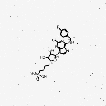 C[C@H](Nc1nc(Cl)nc2c1ncn2[C@@H]1O[C@H](CCCCP(=O)(O)O)C(O)C1O)c1ccc(F)cc1